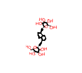 OC[C@H]1O[C@H](C#Cc2cccc3c(C#C[C@H]4O[C@H](CO)[C@@H](O)[C@H](O)[C@@H]4O)cccc23)[C@H](O)[C@@H](O)[C@@H]1O